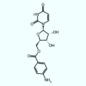 Nc1ccc(C(=O)OC[C@H]2O[C@@H](n3ccc(=O)[nH]c3=O)[C@H](O)[C@@H]2O)cc1